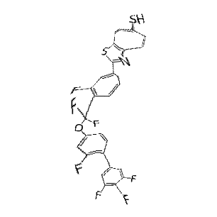 Fc1cc(OC(F)(F)c2ccc(-c3nc4ccc(S)cc4s3)cc2F)ccc1-c1cc(F)c(F)c(F)c1